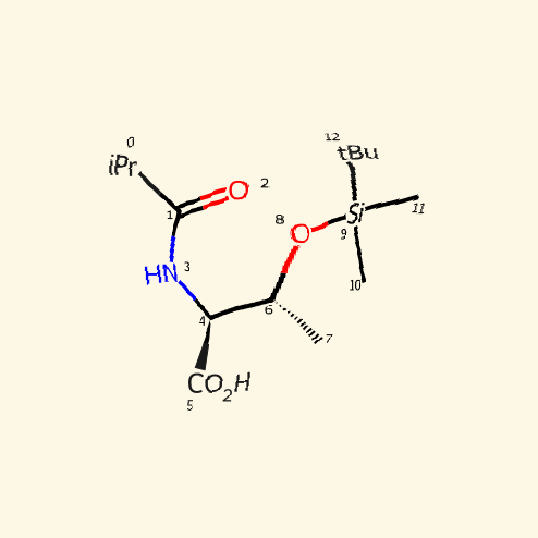 CC(C)C(=O)N[C@H](C(=O)O)[C@@H](C)O[Si](C)(C)C(C)(C)C